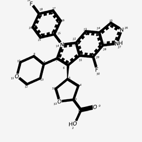 O=C(O)C1C[C@H](c2c(C3CCOCC3)n(-c3ccc(F)cc3)c3cc4cn[nH]c4c(F)c23)CO1